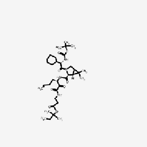 C=CCC[C@@H](NC(=O)[C@@H]1[C@@H]2C(CN1C(=O)[C@@H](NC(=O)OC(C)(C)C)C1CCCCC1)C2(C)C)C(=O)C(=O)NCCC(=O)OC(C)(C)CC